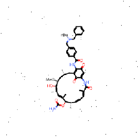 CCCCN(Cc1ccccc1)Cc1ccc(C(=O)NC2=C3C[C@@H](C)C[C@H](OC)[C@H](O)[C@@H](C)/C=C(\C)[C@H](OC(N)=O)[C@@H](C)/C=C\C=C(/C)C(=O)NC(=CC2=O)C3=O)cc1